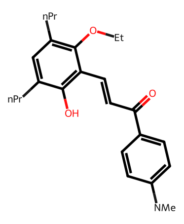 CCCc1cc(CCC)c(OCC)c(/C=C/C(=O)c2ccc(NC)cc2)c1O